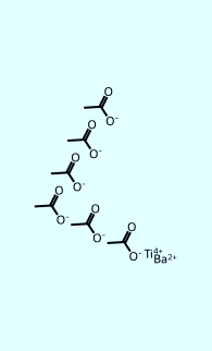 CC(=O)[O-].CC(=O)[O-].CC(=O)[O-].CC(=O)[O-].CC(=O)[O-].CC(=O)[O-].[Ba+2].[Ti+4]